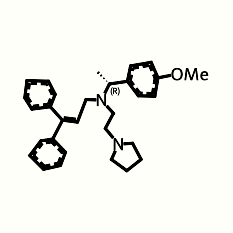 COc1ccc([C@@H](C)N(CC=C(c2ccccc2)c2ccccc2)CCN2CCCC2)cc1